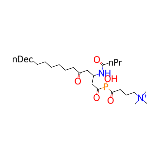 CCCCCCCCCCCCCCCCC(=O)CC(CC(=O)P(O)C(=O)CCC[N+](C)(C)C)NC(=O)CCC